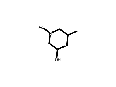 CC(=O)N1CC(C)CC(O)C1